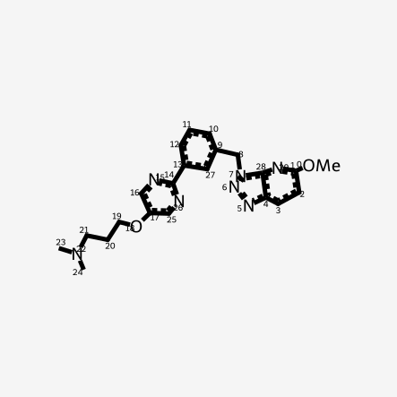 COc1ccc2nnn(Cc3cccc(-c4ncc(OCCCN(C)C)cn4)c3)c2n1